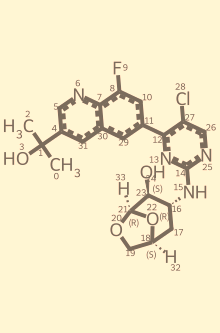 CC(C)(O)c1cnc2c(F)cc(-c3nc(N[C@@H]4C[C@H]5CO[C@H](O5)[C@H]4O)ncc3Cl)cc2c1